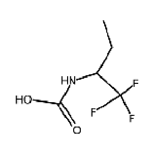 CCC(NC(=O)O)C(F)(F)F